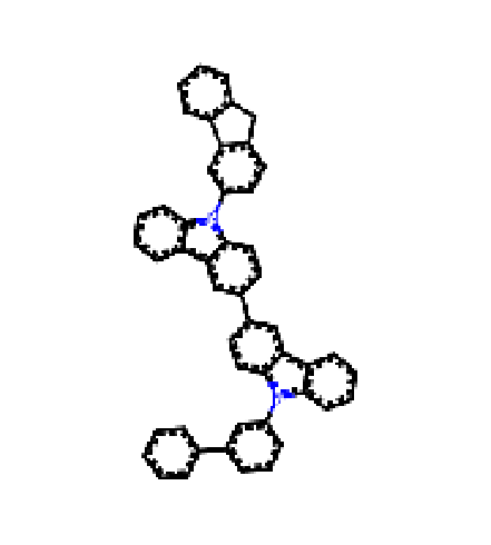 c1ccc(-c2cccc(-n3c4ccccc4c4cc(-c5ccc6c(c5)c5ccccc5n6-c5ccc6c(c5)-c5ccccc5C6)ccc43)c2)cc1